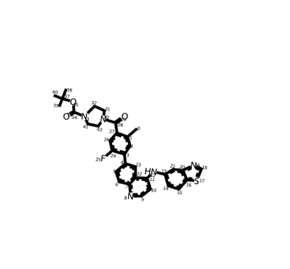 Cc1cc(-c2ccc3nccc(Nc4ccc5scnc5c4)c3c2)c(F)cc1C(=O)N1CCN(C(=O)OC(C)(C)C)CC1